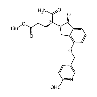 CC(C)(C)OC(=O)CC[C@@H](C(N)=O)N1Cc2c(OCc3ccc(C=O)nc3)cccc2C1=O